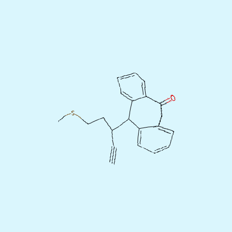 C#CC(CCSC)C1c2ccccc2C(=O)c2ccccc21